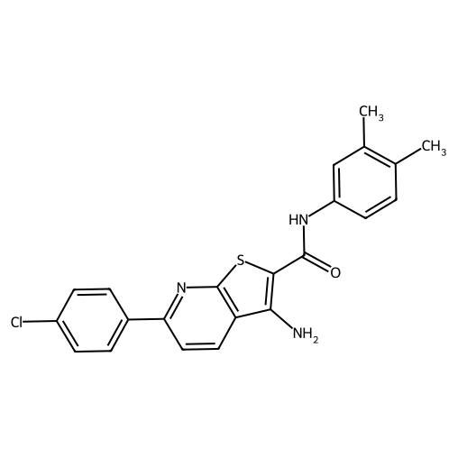 Cc1ccc(NC(=O)c2sc3nc(-c4ccc(Cl)cc4)ccc3c2N)cc1C